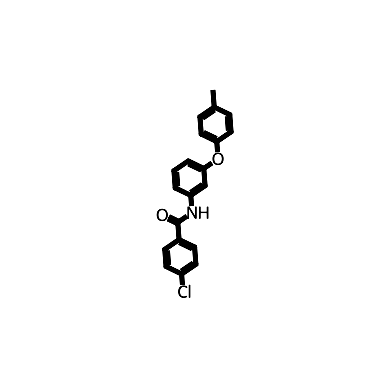 Cc1ccc(Oc2cccc(NC(=O)c3ccc(Cl)cc3)c2)cc1